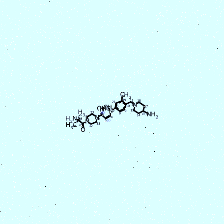 C/N=C(\C=C/N(C=O)c1ccc(CN2CCC(N)CC2)c(C)c1)N1CCN(C(=O)C(C)(C)N)CC1